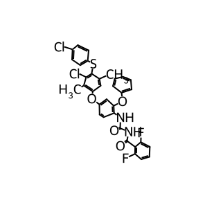 Cc1cc(Oc2ccc(NC(=O)NC(=O)c3c(F)cccc3F)c(Oc3ccccc3)c2)c(C)c(Cl)c1Sc1ccc(Cl)cc1